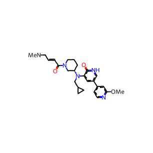 CNC/C=C/C(=O)N1CCC[C@@H](N(CC2CC2)c2cc(-c3ccnc(OC)c3)c[nH]c2=O)C1